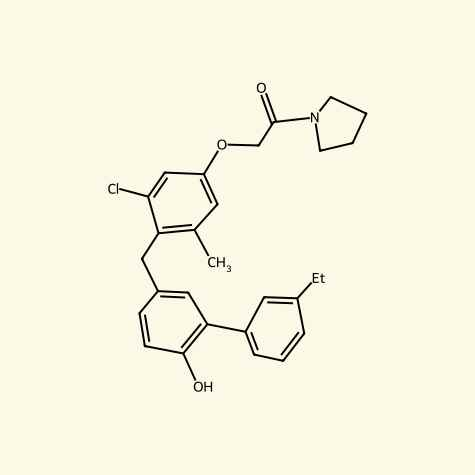 CCc1cccc(-c2cc(Cc3c(C)cc(OCC(=O)N4CCCC4)cc3Cl)ccc2O)c1